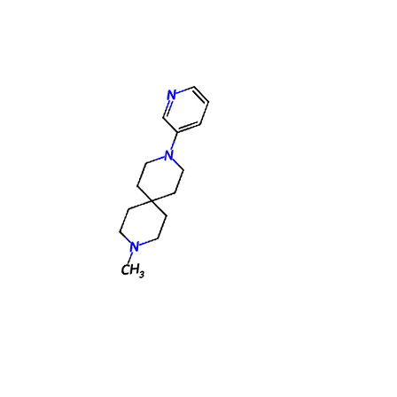 CN1CCC2(CC1)CCN(c1cccnc1)CC2